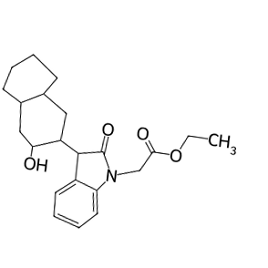 CCOC(=O)CN1C(=O)C(C2CC3CCCCC3CC2O)c2ccccc21